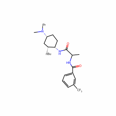 CCCC[C@@H]1C[C@H](N(C)C(C)C)CC[C@@H]1NC(=O)C(C)NC(=O)c1cccc(C(F)(F)F)c1